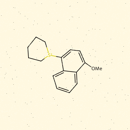 COc1ccc([S+]2CCCCC2)c2ccccc12